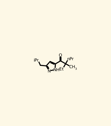 CCCC(C)(CC)C(=O)c1cc(CC(C)C)n[nH]1